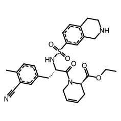 CCOC(=O)[C@H]1CC=CCN1C(=O)[C@H](Cc1ccc(C)c(C#N)c1)NS(=O)(=O)c1ccc2c(c1)CNCC2